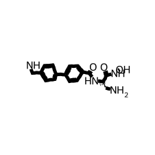 NCc1ccc(-c2ccc(C(=O)N[C@@H](CN)C(=O)NO)cc2)cc1